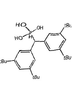 CC(C)(C)c1cc(C(c2cc(C(C)(C)C)cc(C(C)(C)C)c2)[PH](O)(O)O)cc(C(C)(C)C)c1